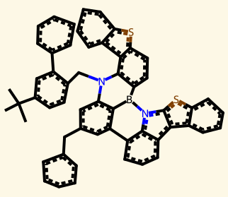 CC(C)(C)c1ccc(CN2c3cc(Cc4ccccc4)cc4c3B(c3ccc5sc6ccccc6c5c32)n2c3sc5ccccc5c3c3cccc-4c32)c(-c2ccccc2)c1